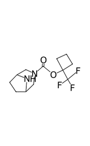 O=C(OC1(C(F)(F)F)CCC1)N1CC2CCC(C1)N2